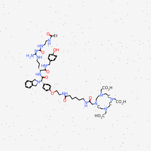 CCC(=O)NCCNC(=O)/N=C(/N)NCCC[C@@H](NC(=O)[C@H](c1ccc(OCCNC(=O)CCCCCNC(=O)CN2CCN(CC(=O)O)CCN(CC(=O)O)CCN(CC(=O)O)CC2)cc1)N1Cc2ccccc2C1)C(=O)NCc1ccc(O)cc1